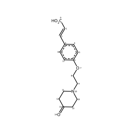 O=C(O)C=Cc1ccc(OCCN2CCC(=O)CC2)cc1